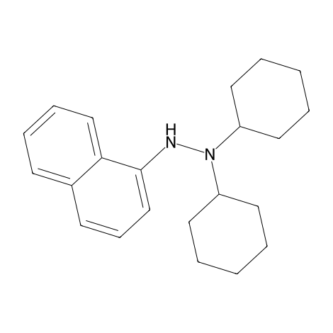 c1ccc2c(NN(C3CCCCC3)C3CCCCC3)cccc2c1